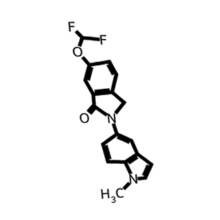 Cn1ccc2cc(N3Cc4ccc(OC(F)F)cc4C3=O)ccc21